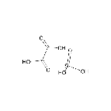 O=C(O)C(=O)O.O=[Si](O)O